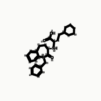 O=C(O)[C@H](CCC1CCCCC1)N[C@H]1CCc2ccccc2N(Cc2ccccc2)C1=O